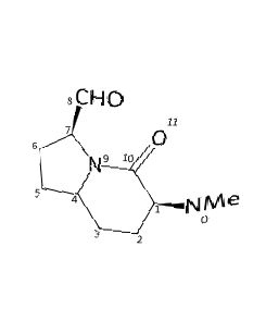 CN[C@H]1CCC2CC[C@@H](C=O)N2C1=O